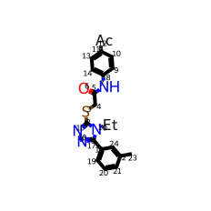 CCn1c(SCC(=O)Nc2ccc(C(C)=O)cc2)nnc1-c1cccc(C)c1